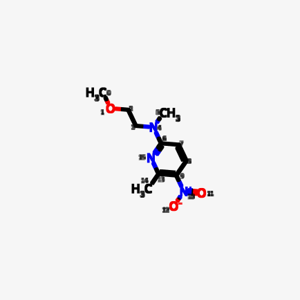 COCCN(C)c1ccc([N+](=O)[O-])c(C)n1